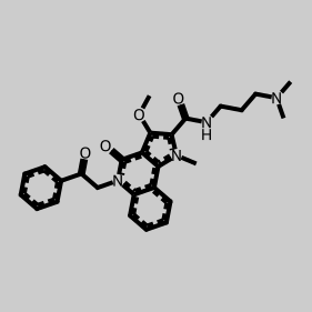 COc1c(C(=O)NCCCN(C)C)n(C)c2c1c(=O)n(CC(=O)c1ccccc1)c1ccccc21